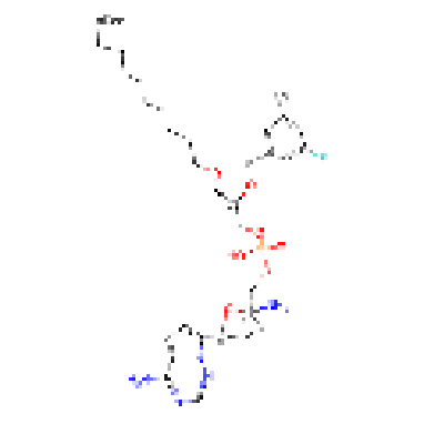 CCCCCCCCCCCCCCCCCCCOC[C@H](COP(=O)(O)OC[C@]1(N)CC[C@H](c2ccc3c(N)ncnn23)O1)OCc1cc(F)cc(C#N)c1